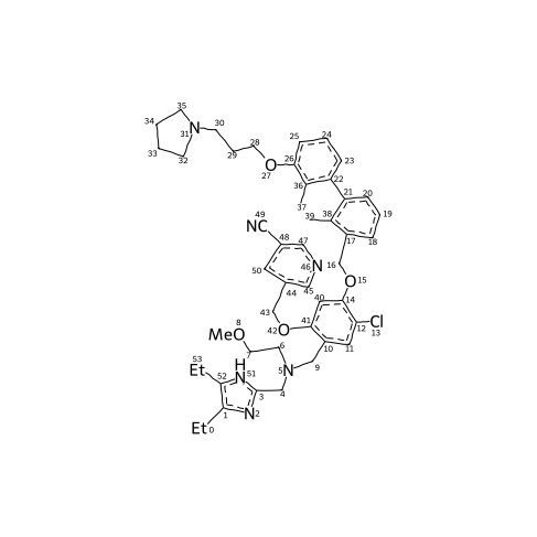 CCc1nc(CN(CCOC)Cc2cc(Cl)c(OCc3cccc(-c4cccc(OCCCN5CCCC5)c4C)c3C)cc2OCc2cncc(C#N)c2)[nH]c1CC